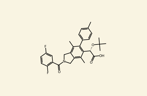 Cc1ccc(-c2c(C)c3c(c(C)c2[C@H](OC(C)(C)C)C(=O)O)CN(C(=O)c2cc(F)ccc2F)C3)cc1